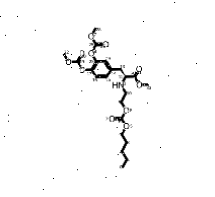 CCCCCOC(=O)OCCN[C@@H](Cc1ccc(OC(=O)OC)c(OC(=O)OC)c1)C(=O)OC